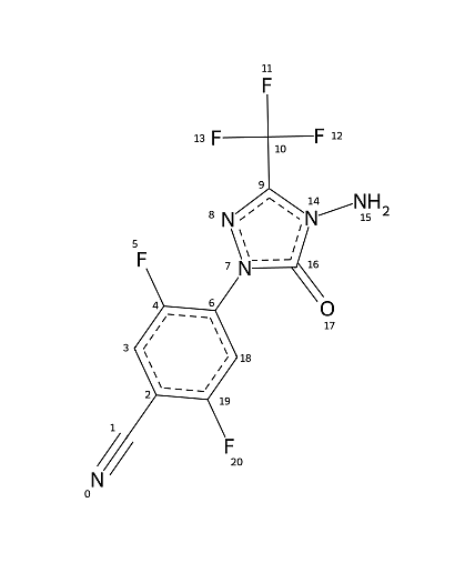 N#Cc1cc(F)c(-n2nc(C(F)(F)F)n(N)c2=O)cc1F